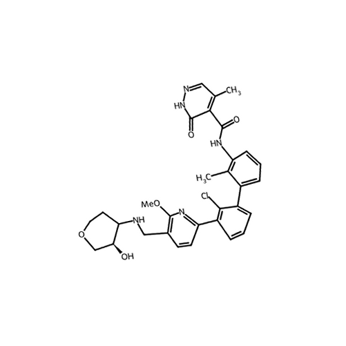 COc1nc(-c2cccc(-c3cccc(NC(=O)c4c(C)cn[nH]c4=O)c3C)c2Cl)ccc1CNC1CCOC[C@@H]1O